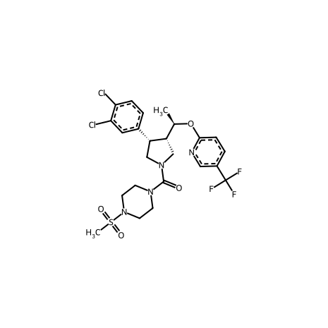 C[C@@H](Oc1ccc(C(F)(F)F)cn1)[C@@H]1CN(C(=O)N2CCN(S(C)(=O)=O)CC2)C[C@@H]1c1ccc(Cl)c(Cl)c1